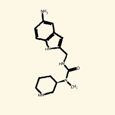 CN(C(=O)NCc1cc2cc(N)ccc2[nH]1)[C@@H]1CCCNC1